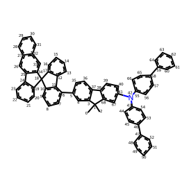 CC1(C)c2cc(-c3cccc4c3-c3ccccc3C43c4ccccc4-c4cc5ccccc5cc43)ccc2-c2ccc(N(c3ccc(-c4ccccc4)cc3)c3ccc(-c4ccccc4)cc3)cc21